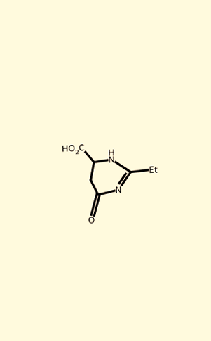 CCC1=NC(=O)CC(C(=O)O)N1